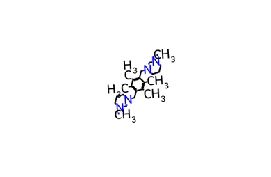 Cc1c(C)c(CN2CCCN(C)C2)c(C)c(C)c1CN1CCCN(C)C1